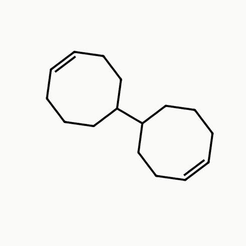 C1=C\CCC(C2CC/C=C\CCC2)CCC/1